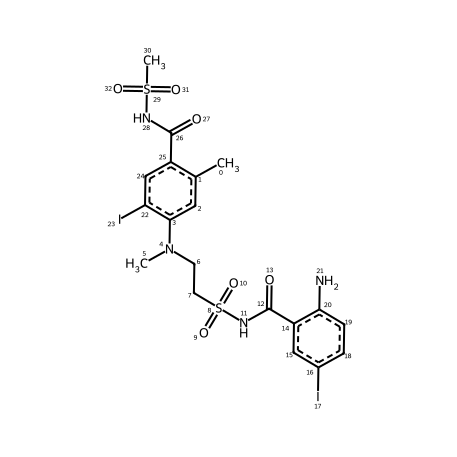 Cc1cc(N(C)CCS(=O)(=O)NC(=O)c2cc(I)ccc2N)c(I)cc1C(=O)NS(C)(=O)=O